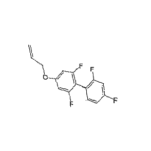 C=CCOc1cc(F)c(-c2[c]cc(F)cc2F)c(F)c1